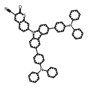 N#Cc1cc2ccc(-n3c4ccc(-c5ccc(N(c6ccccc6)c6ccccc6)cc5)cc4c4cc(-c5ccc(N(c6ccccc6)c6ccccc6)cc5)ccc43)cc2sc1=O